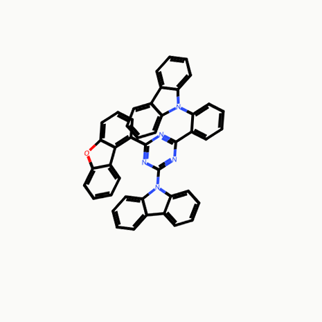 c1ccc(-n2c3ccccc3c3ccccc32)c(-c2nc(-c3cccc4oc5ccccc5c34)nc(-n3c4ccccc4c4ccccc43)n2)c1